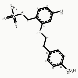 CS(=O)(=O)OCc1ccc(Cl)cc1OCCc1ccc(C(=O)O)cc1